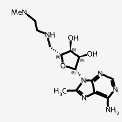 CNCCNC[C@H]1O[C@@H](n2c(C)nc3c(N)ncnc32)[C@H](O)[C@@H]1O